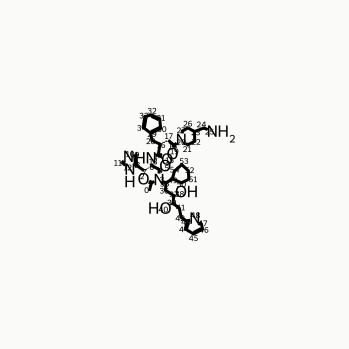 CC(=O)N(C(=O)[C@H](Cc1cnc[nH]1)NC(=O)[C@@H](CC(=O)N1CCC(CN)CC1)Cc1ccccc1)C(C[C@@H](O)[C@@H](O)CCc1ccccn1)C1CCCCC1